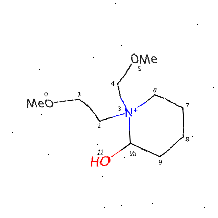 COCC[N+]1(COC)CCCCC1O